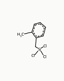 Cc1ccccc1C[Si](Cl)(Cl)Cl